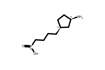 N[C@@H]1CC[C@H](CCCC[PH](=O)O)C1